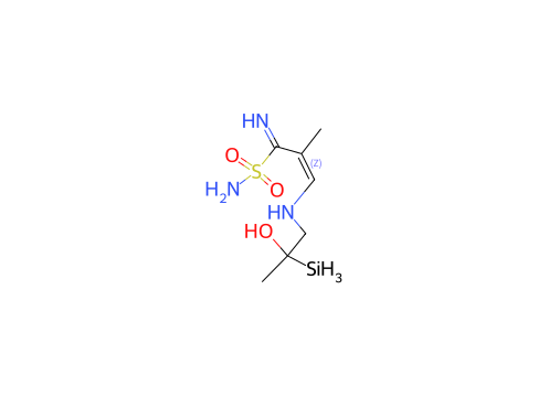 C/C(=C/NCC(C)(O)[SiH3])C(=N)S(N)(=O)=O